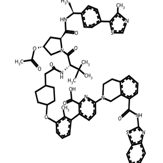 CC(=O)O[C@@H]1C[C@@H](C(=O)N[C@@H](C)c2ccc(-c3scnc3C)cc2)N(C(=O)[C@@H](NC(=O)CC2CCC(Oc3cccc(-c4ccc(N5CCc6cccc(C(=O)Nc7nc8ccccc8s7)c6C5)nc4C(=O)O)c3C)CC2)C(C)(C)C)C1